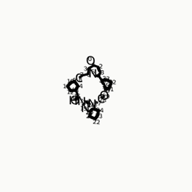 O=C1C=CC2=NC(CCc3cccc(c3)C(=O)Nc3nc4ccccc4n3CCOc3cccc2c3)C1